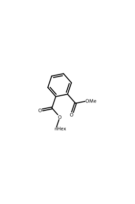 CCCCCCOC(=O)c1ccccc1C(=O)OC